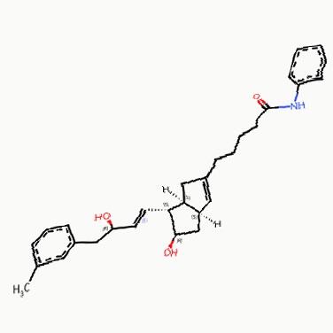 Cc1cccc(C[C@@H](O)/C=C/[C@@H]2[C@H]3CC(CCCCC(=O)Nc4ccccc4)=C[C@H]3C[C@H]2O)c1